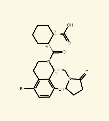 O=C(O)[C@H]1CCCC[C@H]1C(=O)N1CCc2c(Br)ccc(O)c2[C@H]1CN1CCCC1=O